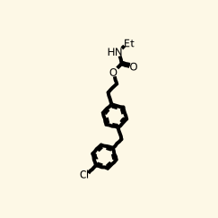 CCNC(=O)OCCc1ccc(Cc2ccc(Cl)cc2)cc1